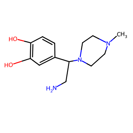 CN1CCN(C(CN)c2ccc(O)c(O)c2)CC1